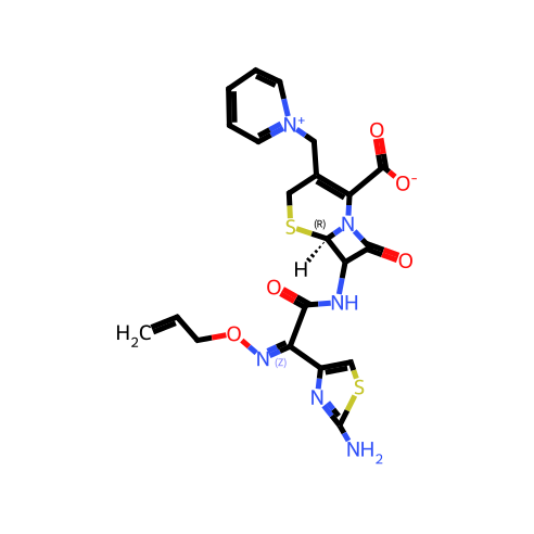 C=CCO/N=C(\C(=O)NC1C(=O)N2C(C(=O)[O-])=C(C[n+]3ccccc3)CS[C@H]12)c1csc(N)n1